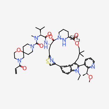 C=CC(=O)N1CCOC2(CCN(C(=O)N(C)[C@H](C(=O)N[C@H]3Cc4nc(cs4)-c4ccc5c(c4)c(c(-c4cccnc4[C@H](C)OC)n5CC)CC(C)(C)COC(=O)[C@@]4([SiH3])CCCN(N4)C3=O)C(C)C)CC2)C1